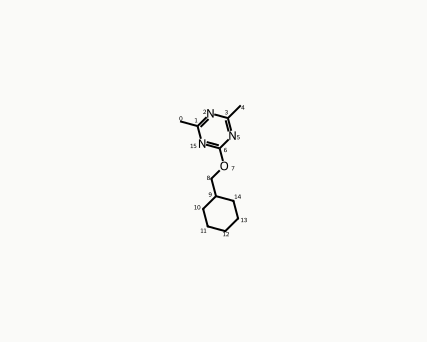 Cc1nc(C)nc(OCC2CCCCC2)n1